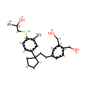 CCc1cc(C2(CCc3ccc(CO)c(CO)c3)CCCC2)ccc1SCC(O)C(C)C